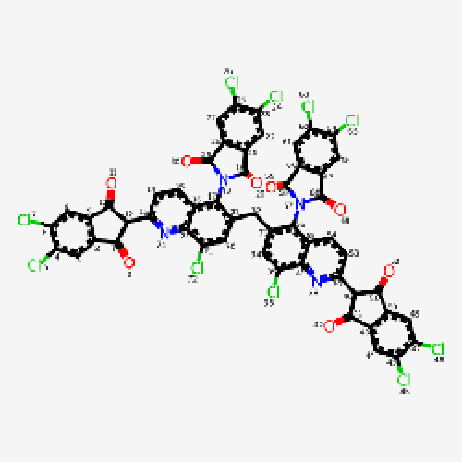 O=C1c2cc(Cl)c(Cl)cc2C(=O)C1c1ccc2c(N3C(=O)c4cc(Cl)c(Cl)cc4C3=O)c(Cc3cc(Cl)c4nc(C5C(=O)c6cc(Cl)c(Cl)cc6C5=O)ccc4c3N3C(=O)c4cc(Cl)c(Cl)cc4C3=O)cc(Cl)c2n1